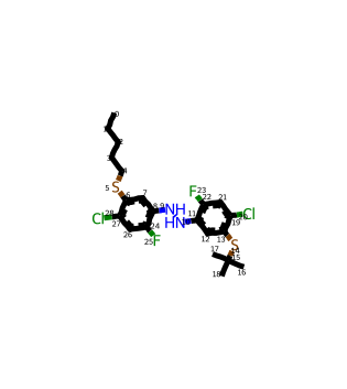 CCCCCSc1cc(NNc2cc(SC(C)(C)C)c(Cl)cc2F)c(F)cc1Cl